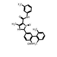 COc1ccc(C2NC(C)=C(C(=O)Nc3cccc(C(F)(F)F)c3)[N+]2=O)cc1-c1c(C)cccc1C